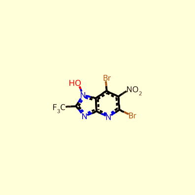 O=[N+]([O-])c1c(Br)nc2nc(C(F)(F)F)n(O)c2c1Br